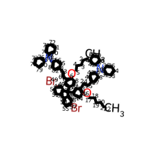 CCCCCCOc1ccc(C2(c3ccc(OCCCCCC)c(/C=C/c4ccc(N(c5ccccc5)c5ccccc5)cc4)c3)c3cc(Br)ccc3-c3ccc(Br)cc32)cc1/C=C/c1ccc(N(c2ccccc2)c2ccccc2)cc1